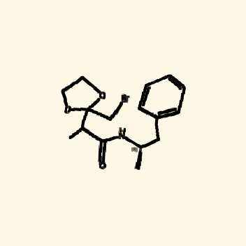 CC(C(=O)N[C@H](C)Cc1ccccc1)C1(CBr)OCCO1